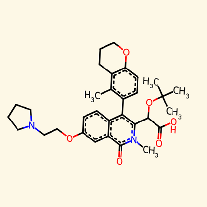 Cc1c(-c2c(C(OC(C)(C)C)C(=O)O)n(C)c(=O)c3cc(OCCN4CCCC4)ccc23)ccc2c1CCCO2